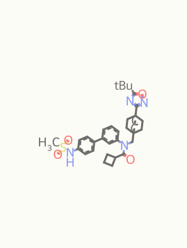 CC(C)(C)c1nc(C23CCC(CN(C(=O)C4CCC4)c4cccc(-c5ccc(NS(C)(=O)=O)cc5)c4)(CC2)CC3)no1